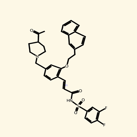 CC(=O)C1CCN(Cc2ccc(/C=C/C(=O)NS(=O)(=O)c3ccc(F)c(F)c3)c(OCCc3ccc4ccccc4c3)c2)CC1